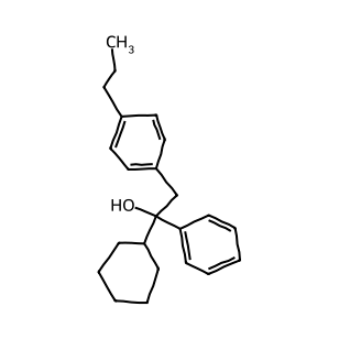 CCCc1ccc(CC(O)(c2ccccc2)C2CCCCC2)cc1